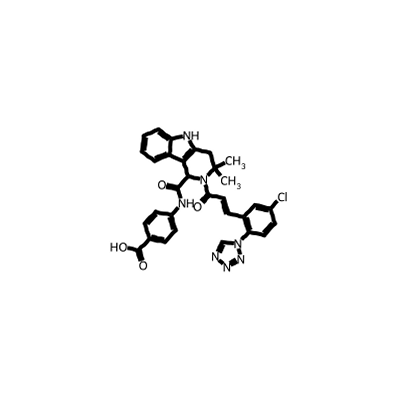 CC1(C)Cc2[nH]c3ccccc3c2C(C(=O)Nc2ccc(C(=O)O)cc2)N1C(=O)/C=C/c1cc(Cl)ccc1-n1cnnn1